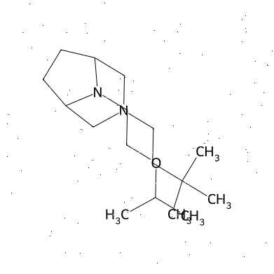 CC(C)OCCN1C2CCC1CN(CCC(C)(C)C)C2